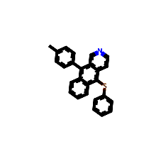 Cc1ccc(-c2c3ccccc3c(Sc3ccccc3)c3ccncc23)cc1